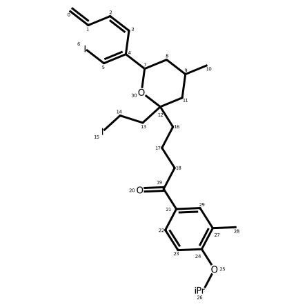 C=C/C=C\C(=C/I)C1CC(C)CC(CCI)(CCCC(=O)c2ccc(OC(C)C)c(C)c2)O1